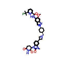 COc1cc2nn([C@H]3CC[C@H](CN4CC(c5ccc6c(c5)n(C)c(=O)n6C5CCC(=O)NC5=O)C4)CC3)cc2cc1NC(=O)c1cccc(C(C)(C)F)n1